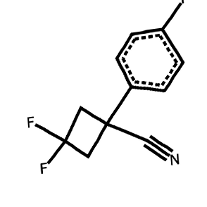 N#CC1(c2ccc(F)cc2)CC(F)(F)C1